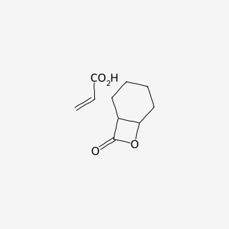 C=CC(=O)O.O=C1OC2CCCCC12